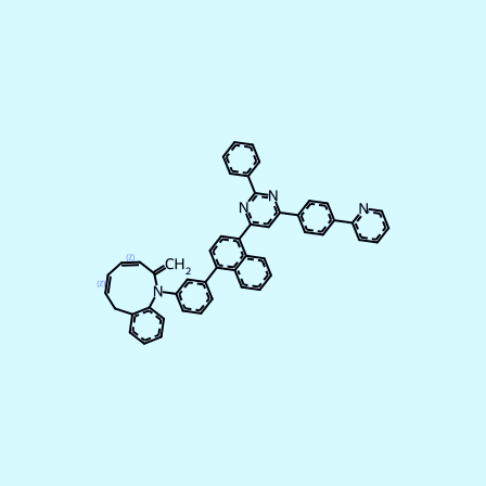 C=C1/C=C\C=C/Cc2ccccc2N1c1cccc(-c2ccc(-c3cc(-c4ccc(-c5ccccn5)cc4)nc(-c4ccccc4)n3)c3ccccc23)c1